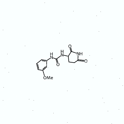 COc1cccc(NC(=O)NC2CCC(=O)NC2=O)c1